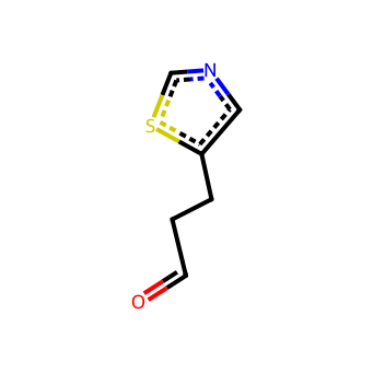 O=CCCc1cncs1